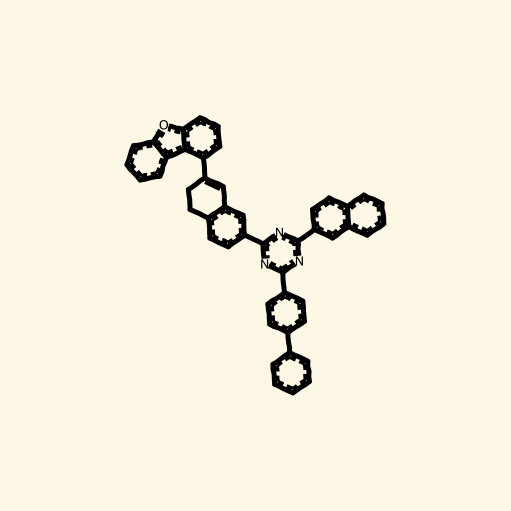 C1=C(c2cccc3oc4ccccc4c23)CCc2ccc(-c3nc(-c4ccc(-c5ccccc5)cc4)nc(-c4ccc5ccccc5c4)n3)cc21